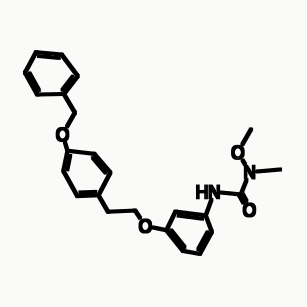 CON(C)C(=O)Nc1cccc(OCCc2ccc(OCc3ccccc3)cc2)c1